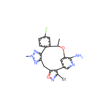 CCc1noc2c1-c1cnc(N)c(c1)OC(C)c1cc(F)ccc1-c1nn(C)nc1C2